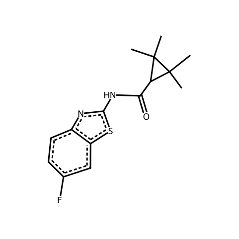 CC1(C)C(C(=O)Nc2nc3ccc(F)cc3s2)C1(C)C